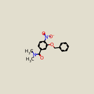 CN(C)C(=O)c1ccc([N+](=O)[O-])c(OCc2ccccc2)c1